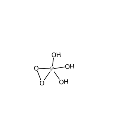 OP1(O)(O)OO1